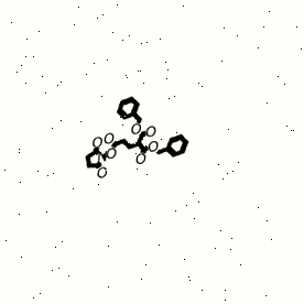 O=C(CCC(C(=O)OCc1ccccc1)C(=O)OCc1ccccc1)ON1C(=O)CCC1=O